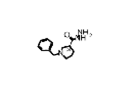 NNC(=O)[C@H]1CCCN(Cc2ccccc2)C1